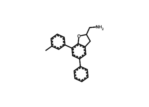 Cc1cccc(-c2cc(-c3ccccc3)cc3c2OC(CN)C3)c1